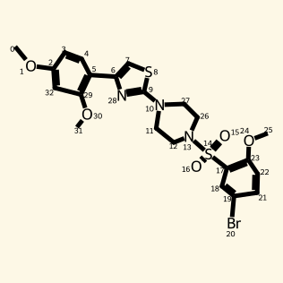 COc1ccc(-c2csc(N3CCN(S(=O)(=O)c4cc(Br)ccc4OC)CC3)n2)c(OC)c1